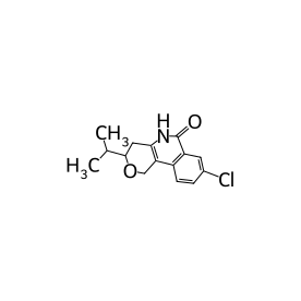 CC(C)C1Cc2[nH]c(=O)c3cc(Cl)ccc3c2CO1